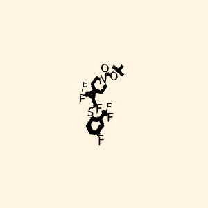 CC(C)(C)OC(=O)N1CCC2(CC1)C(CSc1ccc(F)cc1C(F)(F)F)C2(F)F